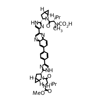 COC(=O)N[C@H](C(=O)N1[C@@H]2C[C@H]2C[C@H]1c1nc(-c2ccc(-c3ccc4nc(-c5c[nH]c([C@@H]6C[C@H]7C[C@H]7N6C(=O)[C@H](C(C)C)N(C)C(=O)O)n5)cnc4c3)cc2)c[nH]1)C(C)C